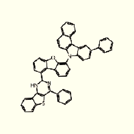 c1ccc(C2=NC(c3cccc4oc5c(-n6c7ccc(-c8ccccc8)cc7c7c8ccccc8ccc76)cccc5c34)Nc3c2sc2ccccc32)cc1